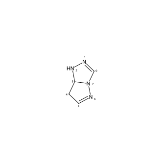 C1=NNC2CC=NN12